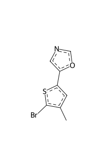 Cc1cc(-c2cnco2)sc1Br